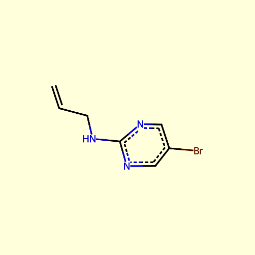 C=CCNc1ncc(Br)cn1